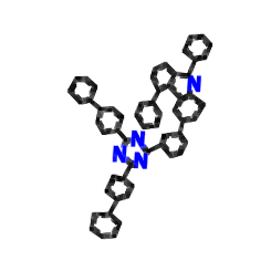 c1ccc(-c2ccc(-c3nc(-c4ccc(-c5ccccc5)cc4)nc(-c4cccc(-c5ccc6nc(-c7ccccc7)c7cccc(-c8ccccc8)c7c6c5)c4)n3)cc2)cc1